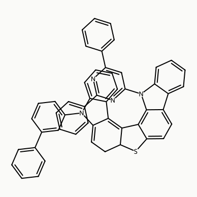 C1=c2c(c3ccccc3n2-c2cccc(-c3ccccc3)c2)=C2c3c(ccc4c5ccccc5n(-c5cc(-c6ccccc6)nc(-c6ccccc6)n5)c34)SC2C1